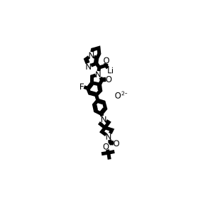 [Li][C](=O)C(c1ncn2c1CCC2)N1Cc2c(F)cc(-c3ccc(N4CC5(CN(C(=O)OC(C)(C)C)C5)C4)cc3)cc2C1=O.[O-2]